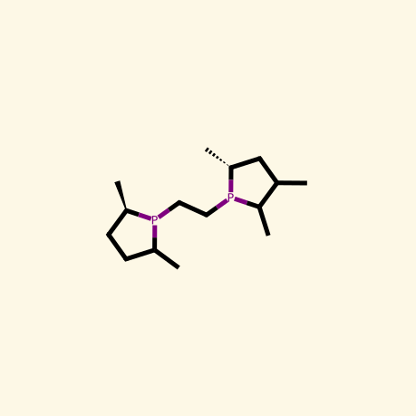 CC1C[C@@H](C)P(CCP2C(C)CC[C@H]2C)C1C